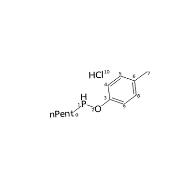 CCCCCPOc1ccc(C)cc1.Cl